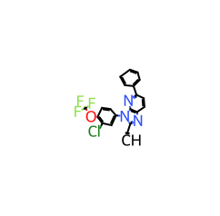 C#Cc1nc2ccc(-c3ccccc3)nc2n1-c1ccc(OC(F)(F)F)c(Cl)c1